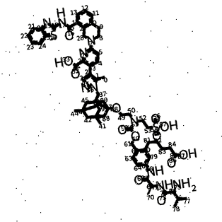 Cc1c(-c2ccc(N3CCc4cccc(C(=O)Nc5nc6ccccc6s5)c4C3)nc2C(=O)O)cnn1CC12CC3(C)CC(C)(C1)CC(OCCN(CCS(=O)(=O)O)C(=O)OCc1ccc(NC(=O)[C@H](C)NC(=O)[C@@H](N)C(C)C)cc1CCCCC(=O)O)(C3)C2